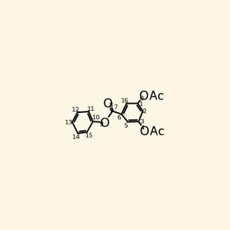 CC(=O)Oc1cc(OC(C)=O)cc(C(=O)Oc2ccccc2)c1